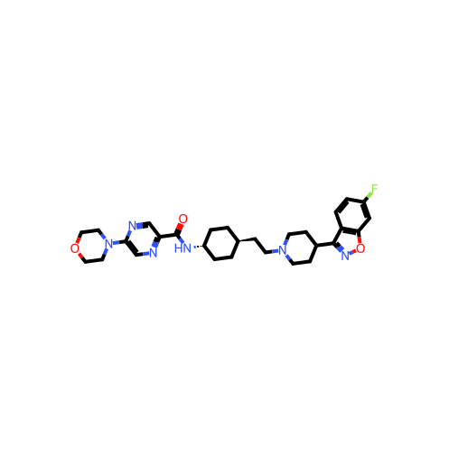 O=C(N[C@H]1CC[C@H](CCN2CCC(c3noc4cc(F)ccc34)CC2)CC1)c1cnc(N2CCOCC2)cn1